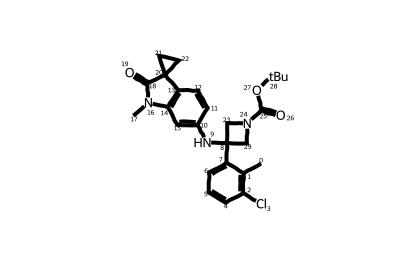 Cc1c(Cl)cccc1C1(Nc2ccc3c(c2)N(C)C(=O)C32CC2)CN(C(=O)OC(C)(C)C)C1